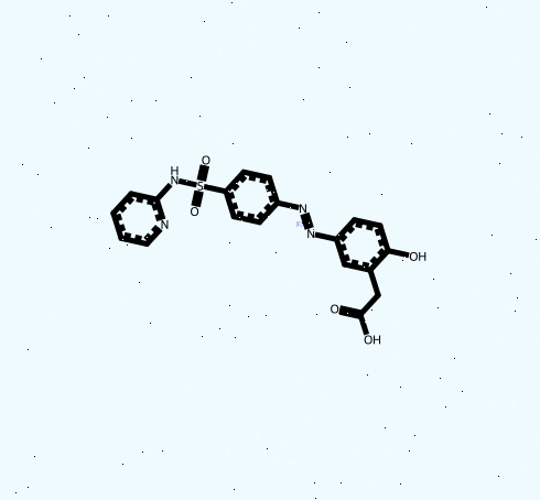 O=C(O)Cc1cc(/N=N/c2ccc(S(=O)(=O)Nc3ccccn3)cc2)ccc1O